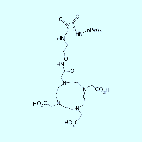 CCCCCNc1c(NCCONC(=O)CN2CCN(CC(=O)O)CCN(CC(=O)O)CCN(CC(=O)O)CC2)c(=O)c1=O